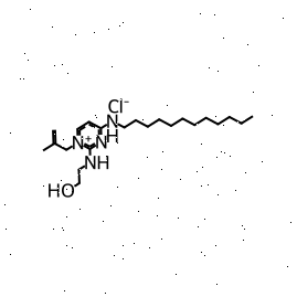 C=C(C)C[n+]1ccc(NCCCCCCCCCCCC)nc1NCCO.[Cl-]